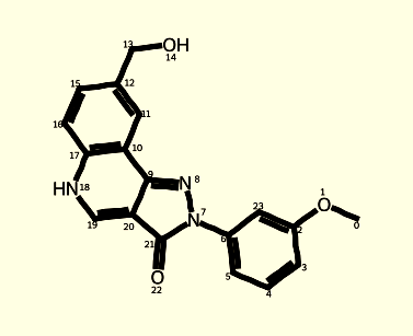 COc1cccc(-n2nc3c4cc(CO)ccc4[nH]cc-3c2=O)c1